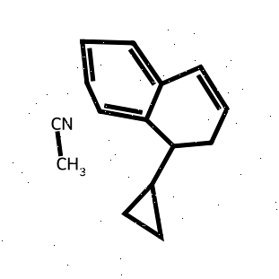 C1=Cc2ccccc2C(C2CC2)C1.CC#N